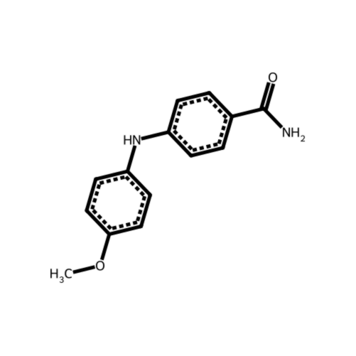 COc1ccc(Nc2ccc(C(N)=O)cc2)cc1